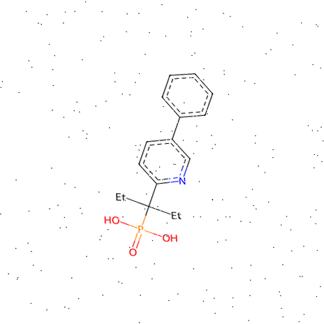 CCC(CC)(c1ccc(-c2ccccc2)cn1)P(=O)(O)O